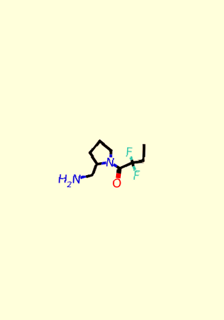 CCC(F)(F)C(=O)N1CCCC1CN